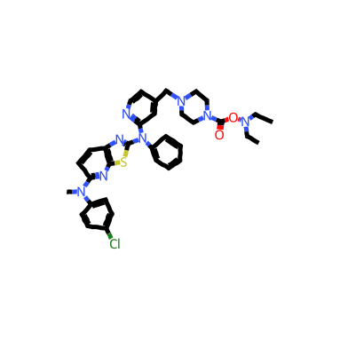 CCN(CC)OC(=O)N1CCN(Cc2ccnc(N(c3ccccc3)c3nc4ccc(N(C)c5ccc(Cl)cc5)nc4s3)c2)CC1